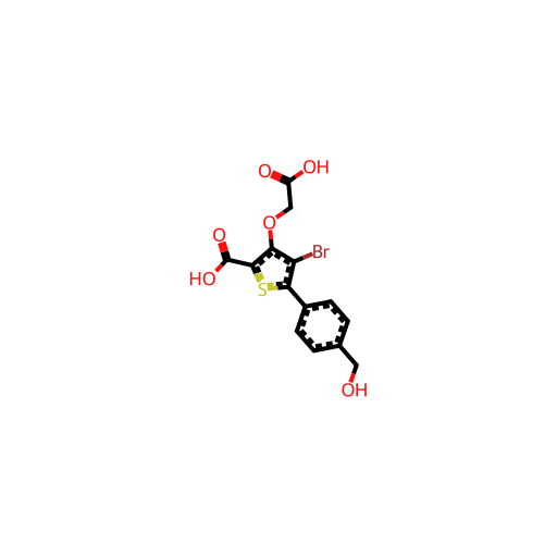 O=C(O)COc1c(C(=O)O)sc(-c2ccc(CO)cc2)c1Br